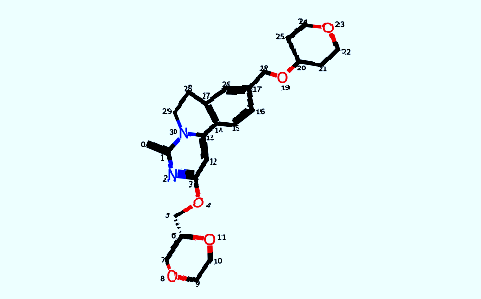 C=C1N=C(OC[C@H]2COCCO2)C=C2c3ccc(COC4CCOCC4)cc3CCN12